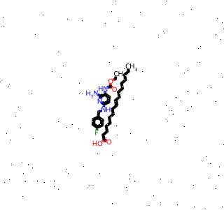 CCCCCCCCC=CCCCCCCCC(=O)O.CCOC(=O)Nc1ccc(NCc2ccc(F)cc2)nc1N